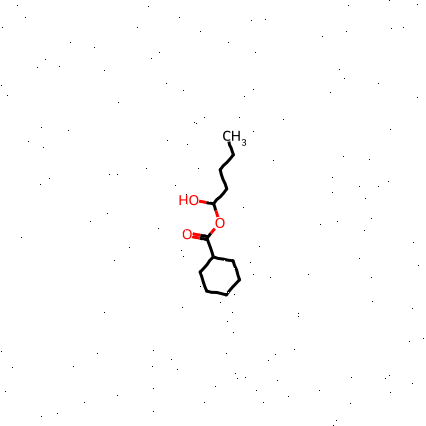 CCCCC(O)OC(=O)C1CCCCC1